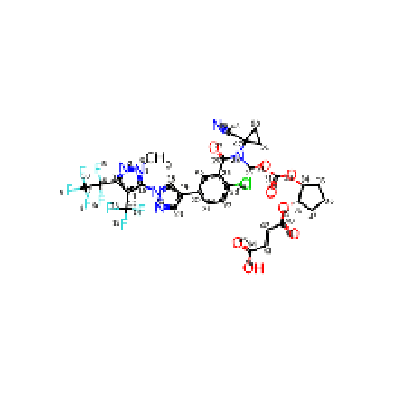 Cn1nc(C(F)(F)C(F)(F)F)c(C(F)(F)F)c1-n1cc(-c2ccc(Cl)c(C(=O)N(COC(=O)O[C@H]3CCC[C@@H]3OC(=O)/C=C/C(=O)O)C3(C#N)CC3)c2)cn1